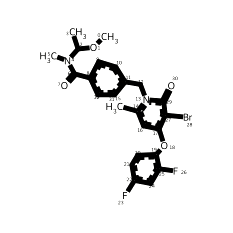 COC(C)N(C)C(=O)c1ccc(Cn2c(C)cc(Oc3ccc(F)cc3F)c(Br)c2=O)cc1